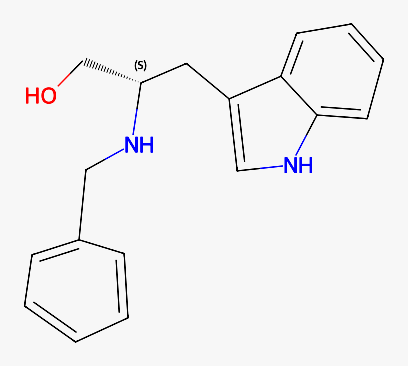 OC[C@H](Cc1c[nH]c2ccccc12)NCc1ccccc1